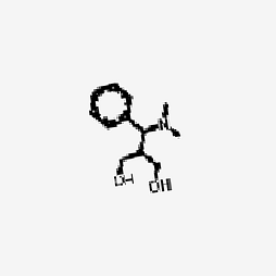 CN(C)C(c1ccccc1)C(CO)CO